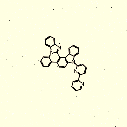 c1ccc(-c2cccc(-n3c4ccccc4c4c5c(ccc43)c3ccccc3n3c4ccccc4nc53)n2)nc1